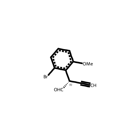 C#C[C@H](C=O)c1c(Br)cccc1OC